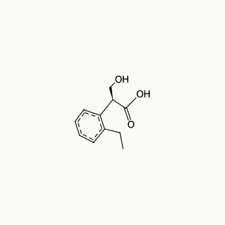 CCc1ccccc1[C@@H](CO)C(=O)O